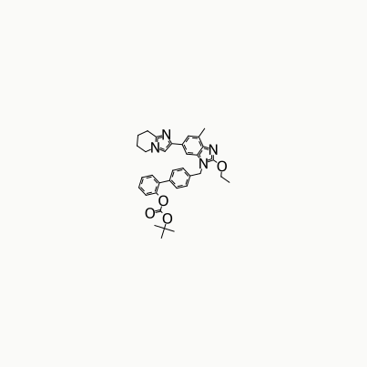 CCOc1nc2c(C)cc(-c3cn4c(n3)CCCC4)cc2n1Cc1ccc(-c2ccccc2OC(=O)OC(C)(C)C)cc1